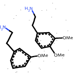 COc1ccc(CCN)cc1OC.COc1cccc(CCN)c1